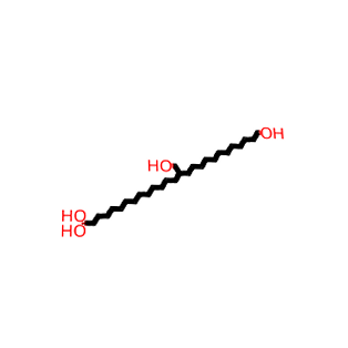 OCCCCCCCCCCCCC(CO)CCCCCCCCCCCCCC(O)O